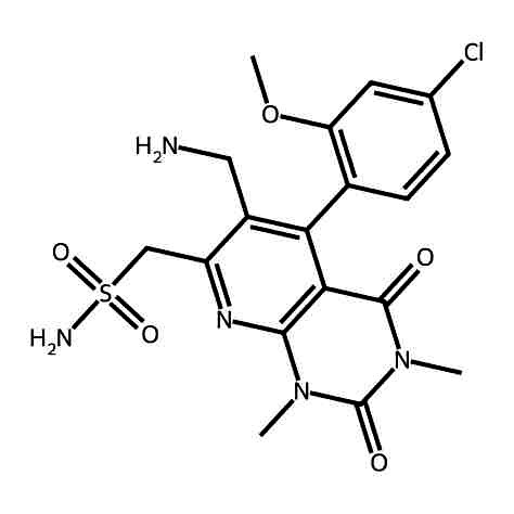 COc1cc(Cl)ccc1-c1c(CN)c(CS(N)(=O)=O)nc2c1c(=O)n(C)c(=O)n2C